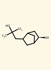 OC(CC1CC2CC1C[C@H]2S)(C(F)(F)F)C(F)(F)F